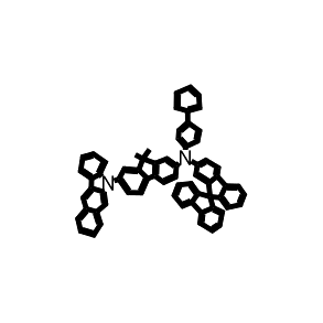 CC1(C)c2cc(N(c3ccc(-c4ccccc4)cc3)c3ccc4c(c3)C3(c5ccccc5-c5ccccc53)c3ccccc3-4)ccc2-c2ccc(-n3c4ccccc4c4cc5ccccc5cc43)cc21